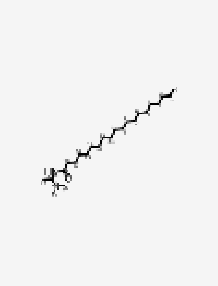 CCCCCCCCCCCCCCCCCCCC(=O)NC(C)N(C)C